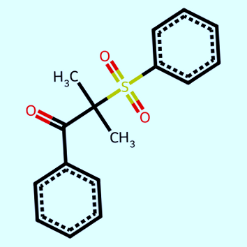 CC(C)(C(=O)c1ccccc1)S(=O)(=O)c1ccccc1